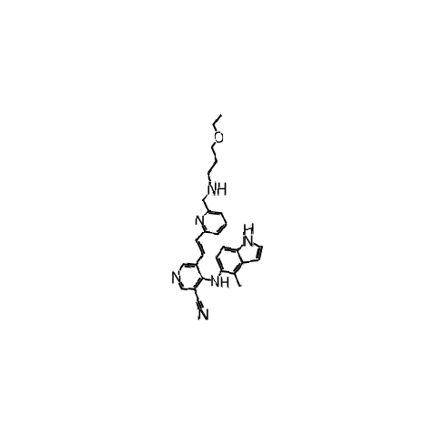 CCOCCCNCc1cccc(/C=C/c2cncc(C#N)c2Nc2ccc3[nH]ccc3c2C)n1